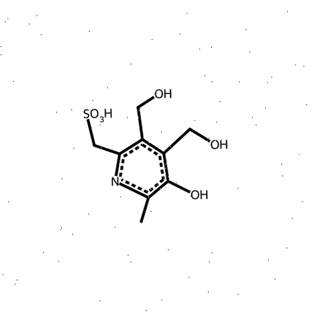 Cc1nc(CS(=O)(=O)O)c(CO)c(CO)c1O